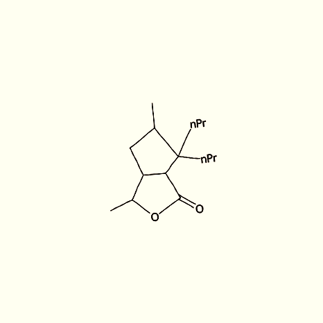 CCCC1(CCC)C(C)CC2C(C)OC(=O)C21